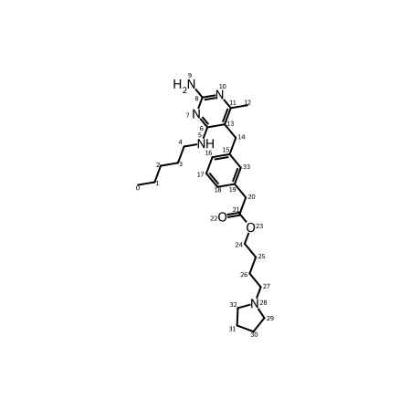 CCCCCNc1nc(N)nc(C)c1Cc1cccc(CC(=O)OCCCCN2CCCC2)c1